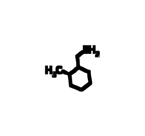 BCC1CCCC[C@H]1C